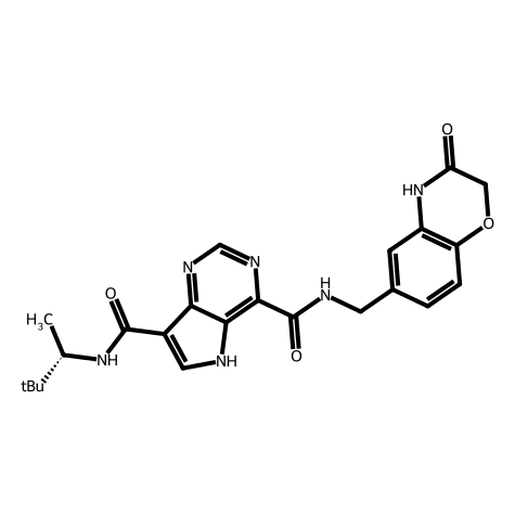 C[C@H](NC(=O)c1c[nH]c2c(C(=O)NCc3ccc4c(c3)NC(=O)CO4)ncnc12)C(C)(C)C